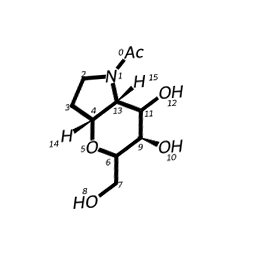 CC(=O)N1CC[C@H]2OC(CO)[C@H](O)C(O)[C@H]21